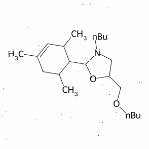 CCCCOCC1CN(CCCC)C(C2C(C)C=C(C)CC2C)O1